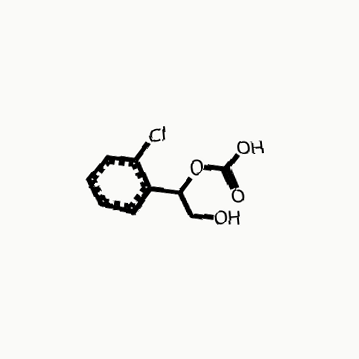 O=C(O)OC(CO)c1ccccc1Cl